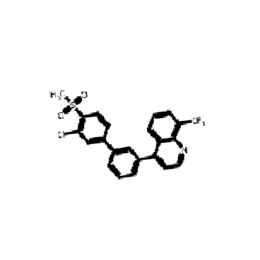 CS(=O)(=O)c1ccc(-c2cccc(-c3ccnc4c(C(F)(F)F)cccc34)c2)cc1Cl